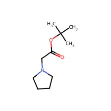 CC(C)(C)OC(=O)CN1CCCC1